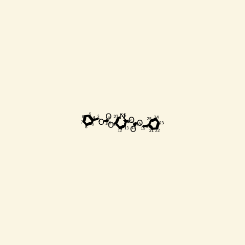 O=C(OCc1ccccc1)Oc1ccc(OC(=O)OCc2ccccc2)nc1